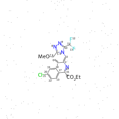 C=CC(=C\n1c(COC)nnc1C(F)F)/N=C(/C(=O)OCC)c1ccc(Cl)cc1